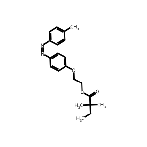 CCC(C)(C)C(=O)OCCOc1ccc(/N=N\c2ccc(C)cc2)cc1